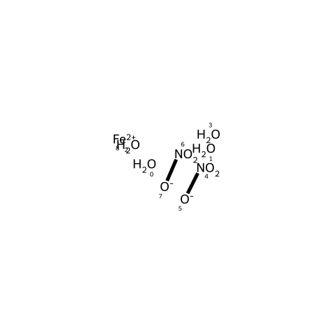 O.O.O.O.O=[N+]([O-])[O-].O=[N+]([O-])[O-].[Fe+2]